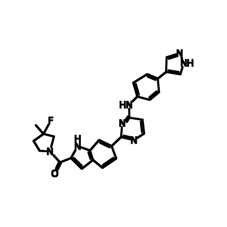 CC1(F)CCN(C(=O)c2cc3ccc(-c4nccc(Nc5ccc(-c6cn[nH]c6)cc5)n4)cc3[nH]2)C1